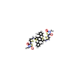 CCN1C(=O)S/C(=c2/cc/c(=C/c3cc4c(-c5c(C)cccc5C)c5sc(/C=c6/cc/c(=C7/SC(=O)N(CC)C7=O)s6)cc5c(-c5c(C)cccc5C)c4s3)s2)C1=O